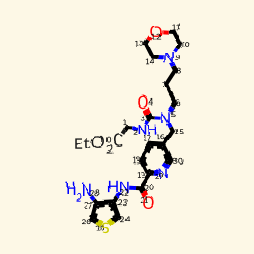 CCOC(=O)CNC(=O)N(CCCN1CCOCC1)Cc1ccc(C(=O)Nc2cscc2N)nc1